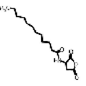 CCCCCCCCCCCC(=O)NC1CC(=O)OC1=O